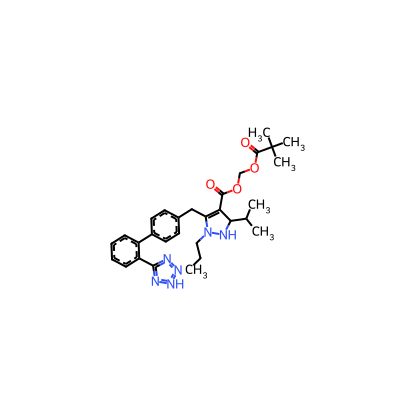 CCCN1NC(C(C)C)C(C(=O)OCOC(=O)C(C)(C)C)=C1Cc1ccc(-c2ccccc2-c2nn[nH]n2)cc1